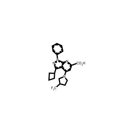 O=C(O)c1cc(N2CCC(C(F)(F)F)C2)c2c(C3CCC3)nn(-c3ccccc3)c2n1